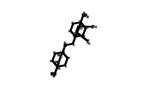 CC12CCC(COC34CCC(O)(CC3)CC4)(CC1)C(F)=C2F